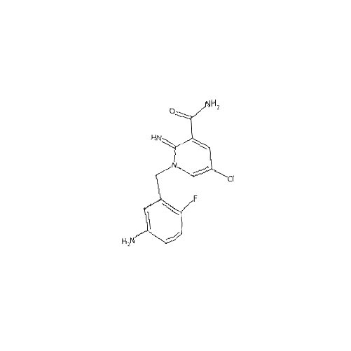 N=c1c(C(N)=O)cc(Cl)cn1Cc1cc(N)ccc1F